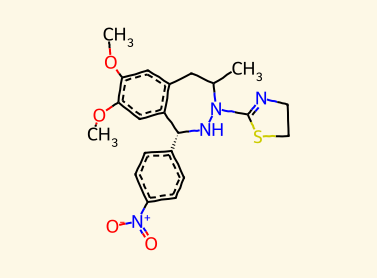 COc1cc2c(cc1OC)[C@@H](c1ccc([N+](=O)[O-])cc1)NN(C1=NCCS1)C(C)C2